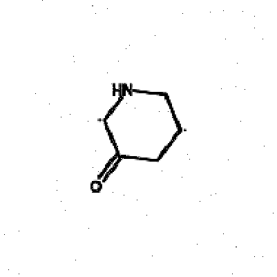 O=C1[CH]NC[CH]C1